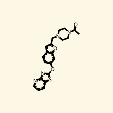 CC(=O)N1CCN(Cc2cc3ccc(Oc4nc5ncccc5s4)cc3o2)CC1